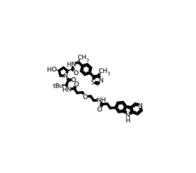 Cc1ncsc1-c1ccc([C@H](C)NC(=O)[C@@H]2C[C@@H](O)CN2C(=O)[C@@H](NC(=O)CCOCCNC(=O)CCc2ccc3c(c2)[nH]c2ccncc23)C(C)(C)C)cc1